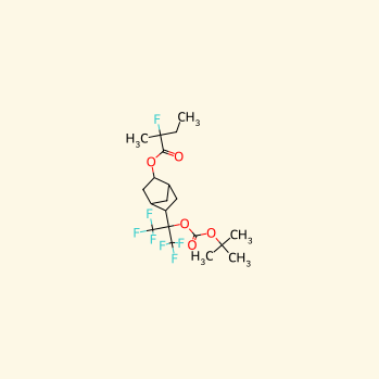 CCC(C)(F)C(=O)OC1CC2CC1CC2C(OC(=O)OC(C)(C)C)(C(F)(F)F)C(F)(F)F